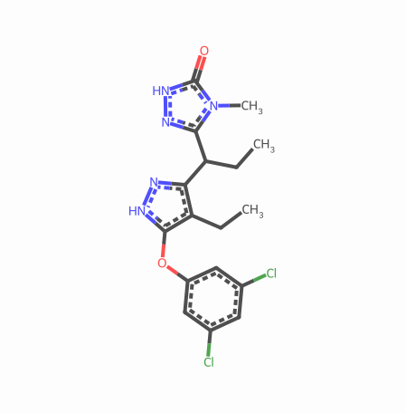 CCc1c(C(CC)c2n[nH]c(=O)n2C)n[nH]c1Oc1cc(Cl)cc(Cl)c1